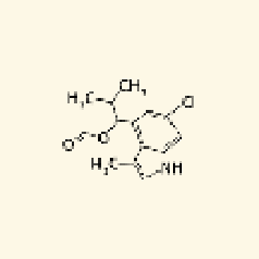 Cc1c[nH]c2cc(Cl)cc(C(OC=O)C(C)C)c12